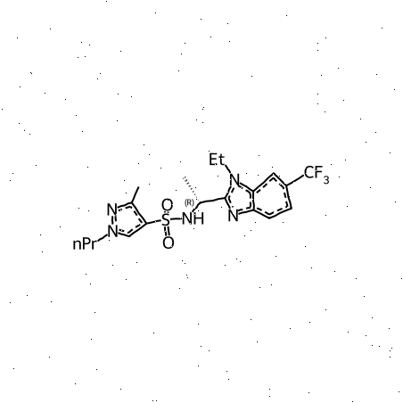 CCCn1cc(S(=O)(=O)N[C@H](C)c2nc3ccc(C(F)(F)F)cc3n2CC)c(C)n1